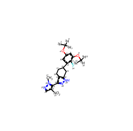 [2H]C([2H])([2H])Oc1cc(OC([2H])([2H])[2H])c(F)c(C2CCc3c(-c4c([N+](=O)[O-])cnn4C)n[nH]c3C2)c1